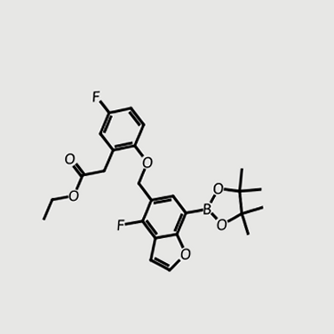 CCOC(=O)Cc1cc(F)ccc1OCc1cc(B2OC(C)(C)C(C)(C)O2)c2occc2c1F